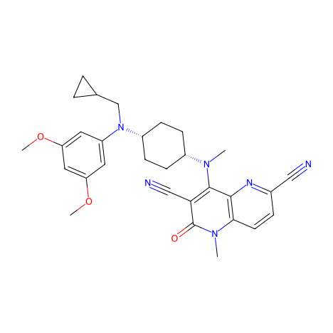 COc1cc(OC)cc(N(CC2CC2)[C@H]2CC[C@@H](N(C)c3c(C#N)c(=O)n(C)c4ccc(C#N)nc34)CC2)c1